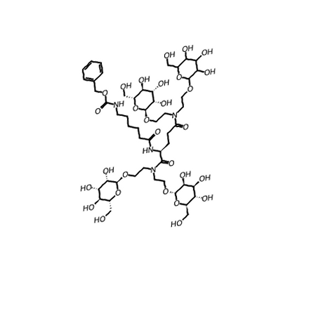 O=C(CCCCCNC(=O)OCc1ccccc1)N[C@@H](CCC(=O)N(CCOC1OC(CO)C(O)C(O)C1O)CCO[C@H]1O[C@H](CO)[C@@H](O)[C@H](O)[C@@H]1O)C(=O)N(CCO[C@H]1O[C@H](CO)[C@@H](O)[C@H](O)[C@@H]1O)CCO[C@H]1O[C@H](CO)[C@@H](O)[C@H](O)[C@@H]1O